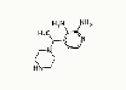 CC(c1ccnc(N)c1N)N1CCNCC1